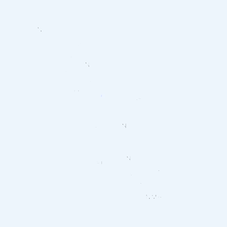 CN[C@H](C(=O)NC(C(=O)N(C)[C@H](/C=C(\C)C(=O)NS(=O)(=O)c1cccnc1)C(C)C)C(C)(C)C)C(C)(C)c1ccccc1